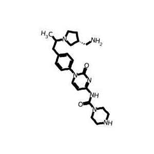 CC(Cc1ccc(-n2ccc(NC(=O)N3CCNCC3)nc2=O)cc1)N1CC[C@H](CN)C1